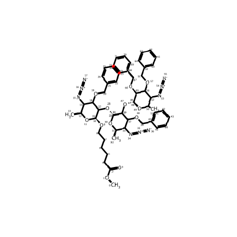 COC(=O)CCCCCO[C@H]1OC(C)C(N=[N+]=[N-])C(OCc2ccccc2)C1O[C@H]1OC(C)C(N=[N+]=[N-])C(OCc2ccccc2)C1O[C@H]1OC(C)C(N=[N+]=[N-])C(OCc2ccccc2)C1OCc1ccccc1